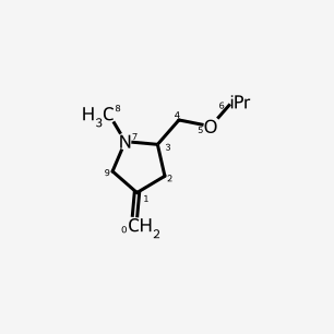 C=C1CC(COC(C)C)N(C)C1